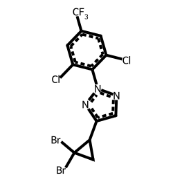 FC(F)(F)c1cc(Cl)c(-n2ncc(C3CC3(Br)Br)n2)c(Cl)c1